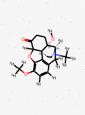 [2H]O[C@@]12CCC(=O)C3([2H])Oc4c(OC([2H])([2H])[2H])c([2H])c([2H])c5c4[C@@]31CCN(C([2H])([2H])[2H])[C@]2([2H])C5([2H])[2H]